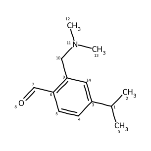 CC(C)c1ccc(C=O)c(CN(C)C)c1